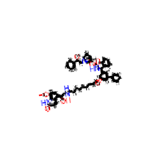 O=C(NC(c1ccccc1)c1cc(OCCCCCCCCCNC[C@H](O)c2ccc(O)c3[nH]c(=O)ccc23)cc(-c2ccccc2)c1)O[C@H]1C[N+]2(CC(=O)c3ccccc3)CCC1CC2